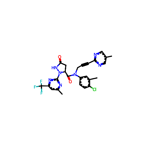 Cc1cnc(C#CCN(C(=O)C2CC(=O)NN2c2nc(C)cc(C(F)(F)F)n2)c2ccc(Cl)c(C)c2)nc1